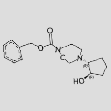 O=C(OCc1ccccc1)N1CCN([C@@H]2CCC[C@H]2O)CC1